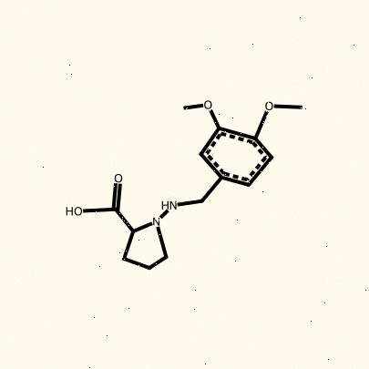 COc1ccc(CNN2CCCC2C(=O)O)cc1OC